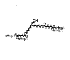 CCCCCCCOC(CCCCC(=O)OCCCCCCN(CCO)CCCCCCOC(=O)CCCCC(OCCCCCCC)OCCCCCCC)OCCCCCCC